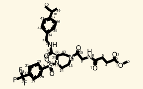 COC(=O)CCC(=O)NCC(=O)N1CCN(S(=O)(=O)c2ccc(C(F)(F)F)cc2)[C@@H](C(=O)NCc2ccc(C(C)C)cc2)C1